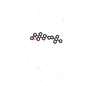 c1ccc(-c2c3ccccc3c(-c3ccc4cc(-c5cccc6c(-c7c8ccccc8c(-c8cccc9c8oc8ccccc89)c8ccccc78)cccc56)ccc4c3)c3ccccc23)cc1